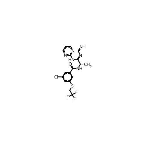 C[C@H](NC(=O)c1cc(Cl)cc(SCC(F)(F)F)c1)/C(=N/C=N)Nc1ncccn1